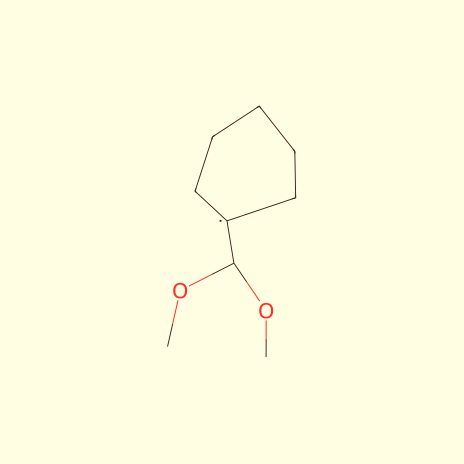 COC(OC)[C]1CCCCC1